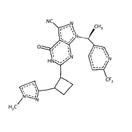 C[C@@H](c1ccc(C(F)(F)F)nc1)n1nc(C#N)c2c(=O)[nH]c(C3CCC3c3ccn(C)n3)nc21